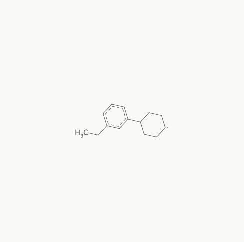 CCc1cccc(C2CC[CH]CC2)c1